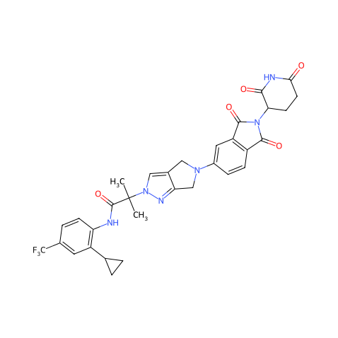 CC(C)(C(=O)Nc1ccc(C(F)(F)F)cc1C1CC1)n1cc2c(n1)CN(c1ccc3c(c1)C(=O)N(C1CCC(=O)NC1=O)C3=O)C2